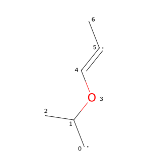 [CH2]C(C)O/C=[C]/C